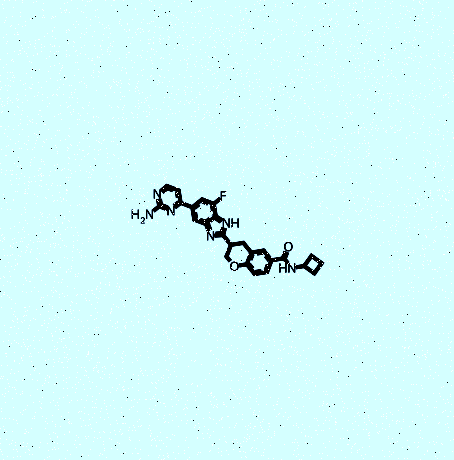 Nc1nccc(-c2cc(F)c3[nH]c(C4COc5ccc(C(=O)NC6CCC6)cc5C4)nc3c2)n1